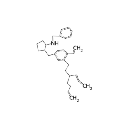 C=C=CC(CCC=C)CCc1cc(CC2CCCC2NCc2ccccc2)ccc1C=C